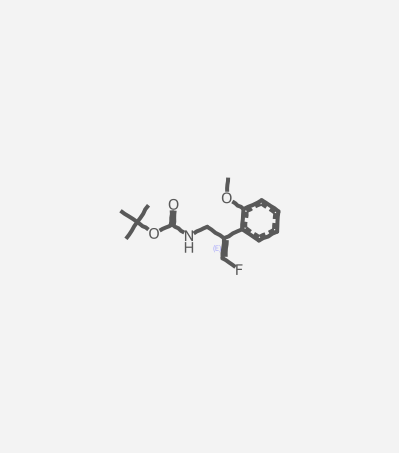 COc1ccccc1/C(=C\F)CNC(=O)OC(C)(C)C